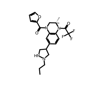 CCCN1CC(c2ccc3c(c2)N(C(=O)c2ccco2)C[C@H](C)N3C(=O)C(F)(F)F)CN1